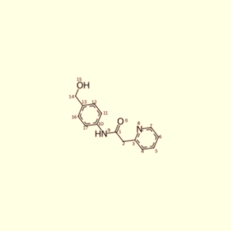 O=C(Cc1ccccn1)Nc1ccc(CO)cc1